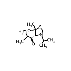 CC(C)C(=O)[C@H]1N(C(C)C)CSC1(C)C